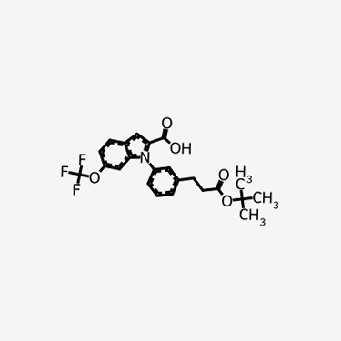 CC(C)(C)OC(=O)CCc1cccc(-n2c(C(=O)O)cc3ccc(OC(F)(F)F)cc32)c1